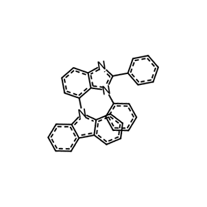 c1ccc(-c2nc3cccc(-n4c5ccccc5c5ccccc54)c3n2-c2ccccc2)cc1